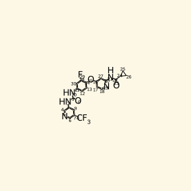 O=C(Nc1cncc(C(F)(F)F)c1)Nc1ccc(Oc2ccnc(NC(=O)C3CC3)c2)c(F)c1